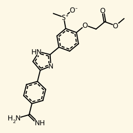 COC(=O)COc1ccc(-c2nc(-c3ccc(C(=N)N)cc3)c[nH]2)cc1[S+](C)[O-]